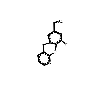 CC(=O)Cc1cc(Cl)c2c(c1)Cc1cccnc1O2